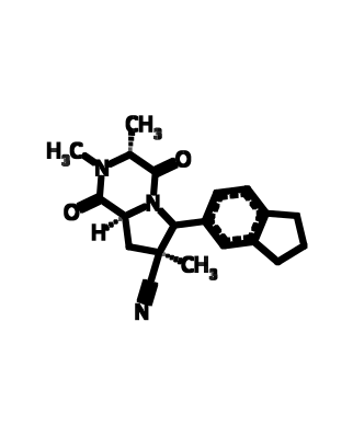 C[C@@H]1C(=O)N2C(c3ccc4c(c3)CCC4)[C@@](C)(C#N)C[C@H]2C(=O)N1C